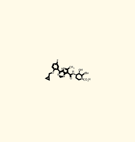 Cc1[nH]c2c(-c3cc(F)ccc3OCC3CC3)ncnc2c1C(=O)N[C@@H]1CCN(C(=O)O)C(C(C)(C)C)[C@@H]1O